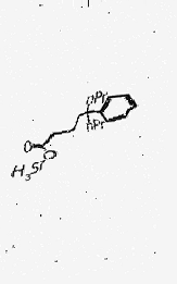 CCCC(CCC)(CCCC(=O)O[SiH3])c1ccccc1